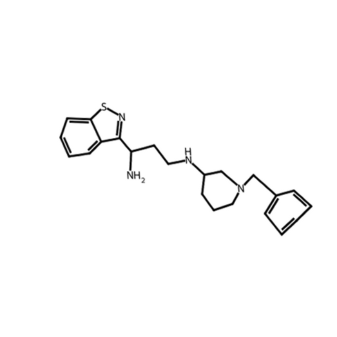 NC(CCNC1CCCN(Cc2ccccc2)C1)c1nsc2ccccc12